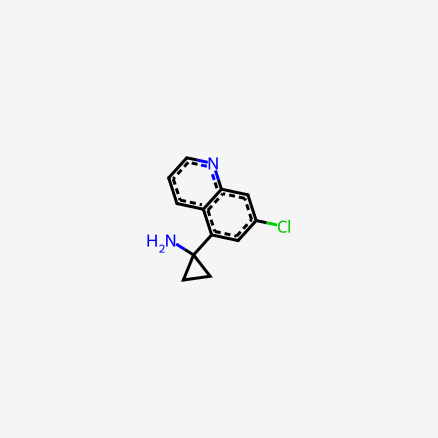 NC1(c2cc(Cl)cc3ncccc23)CC1